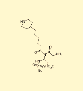 CC[C@H](C)S(=O)(=O)N[C@@H](CC(=O)O)N(C(=O)CN)C(=O)CCCCCC1CCNCC1